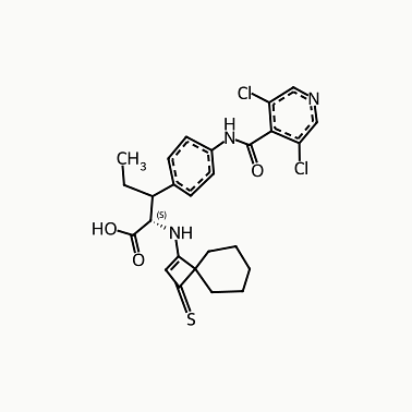 CCC(c1ccc(NC(=O)c2c(Cl)cncc2Cl)cc1)[C@H](NC1=CC(=S)C12CCCCC2)C(=O)O